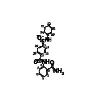 NC(=O)c1ccccc1NC(=O)c1ccc([S+]([O-])Nc2ccccc2)cc1